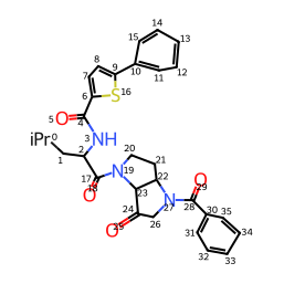 CC(C)CC(NC(=O)c1ccc(-c2ccccc2)s1)C(=O)N1CCC2C1C(=O)CN2C(=O)c1ccccc1